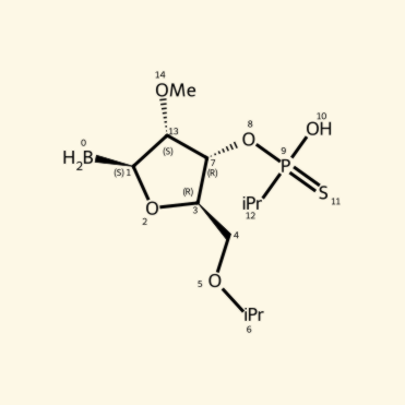 B[C@@H]1O[C@H](COC(C)C)[C@@H](OP(O)(=S)C(C)C)[C@H]1OC